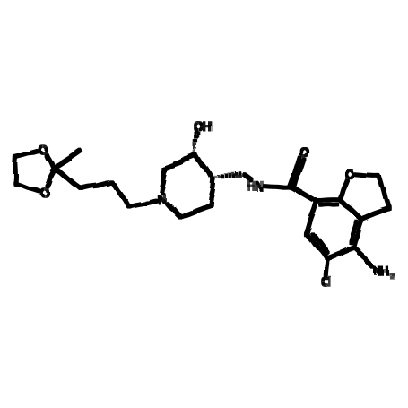 CC1(CCCN2CC[C@@H](CNC(=O)c3cc(Cl)c(N)c4c3OCC4)[C@@H](O)C2)OCCO1